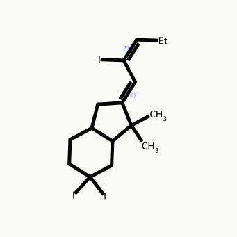 CC/C=C(I)\C=C1/CC2CCC(I)(I)CC2C1(C)C